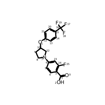 O=C(O)c1ccc(N2CCC(Oc3ccc(C(F)(F)F)cc3)C2)cc1F